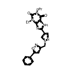 CCCn1c(=O)c2[nH]c(-c3cnn(Cc4cc(-c5ccccc5)on4)c3)nc2n(CC)c1=O